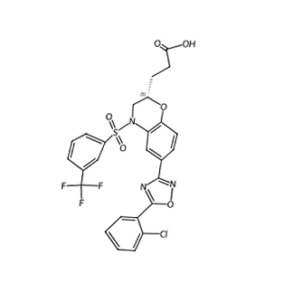 O=C(O)CC[C@H]1CN(S(=O)(=O)c2cccc(C(F)(F)F)c2)c2cc(-c3noc(-c4ccccc4Cl)n3)ccc2O1